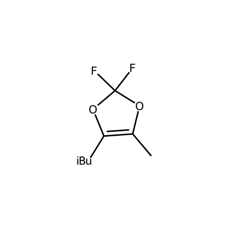 CCC(C)C1=C(C)OC(F)(F)O1